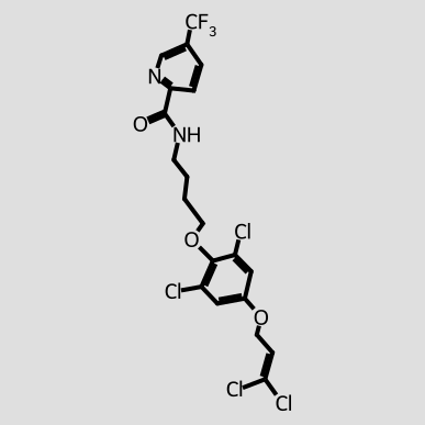 O=C(NCCCCOc1c(Cl)cc(OCC=C(Cl)Cl)cc1Cl)c1ccc(C(F)(F)F)cn1